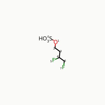 O=S(=O)(O)OCCC(F)CF